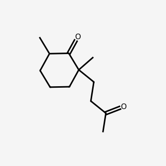 CC(=O)CCC1(C)CCCC(C)C1=O